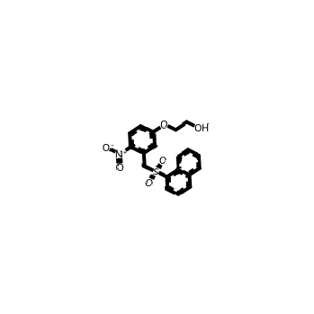 O=[N+]([O-])c1ccc(OCCO)cc1CS(=O)(=O)c1cccc2ccccc12